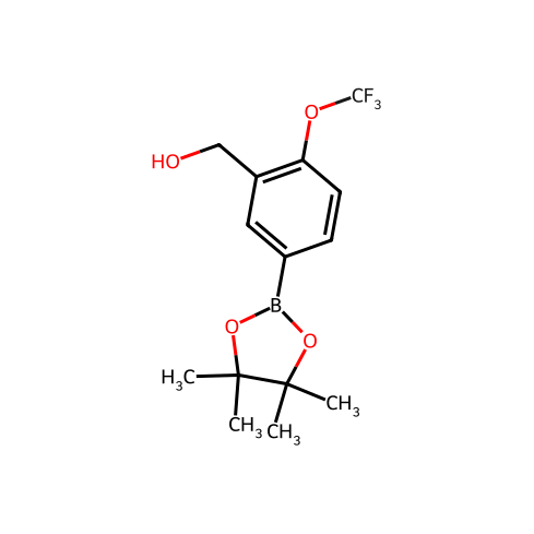 CC1(C)OB(c2ccc(OC(F)(F)F)c(CO)c2)OC1(C)C